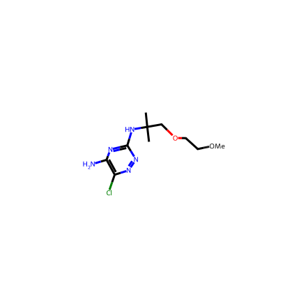 COCCOCC(C)(C)Nc1nnc(Cl)c(N)n1